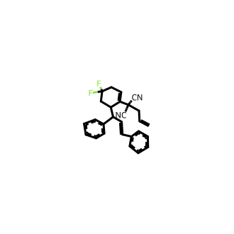 C=CCC(C#N)(C#N)C1=CCC(F)(F)CC1C(C=Cc1ccccc1)c1ccccc1